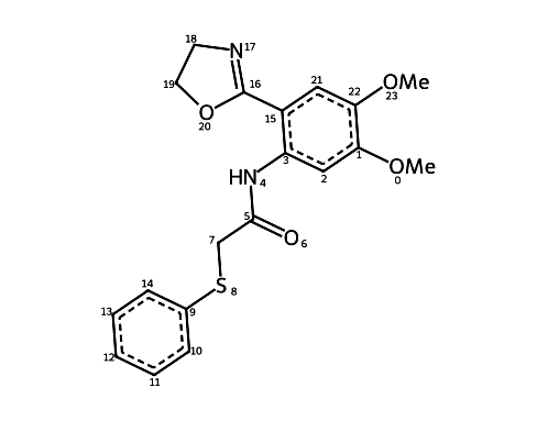 COc1cc(NC(=O)CSc2ccccc2)c(C2=NCCO2)cc1OC